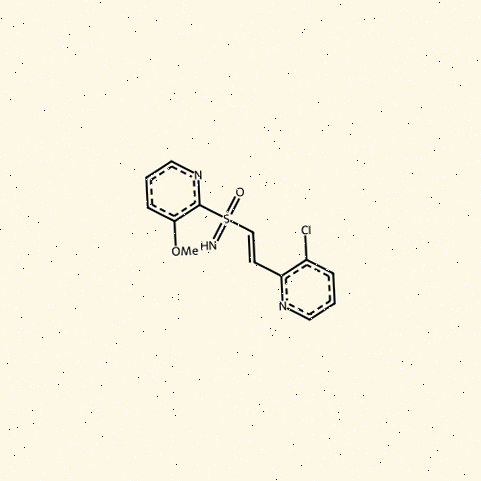 COc1cccnc1S(=N)(=O)/C=C/c1ncccc1Cl